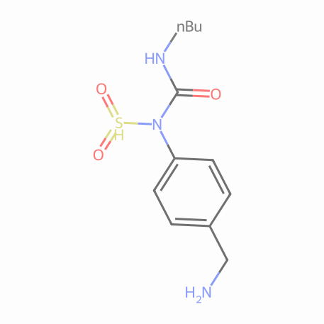 CCCCNC(=O)N(c1ccc(CN)cc1)[SH](=O)=O